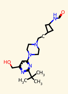 CC(C)(C)c1nc(CO)cc(N2CCN(CCC3CC(NC=O)C3)CC2)n1